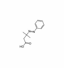 CC(C)(CC(=O)O)N=Nc1ccccc1